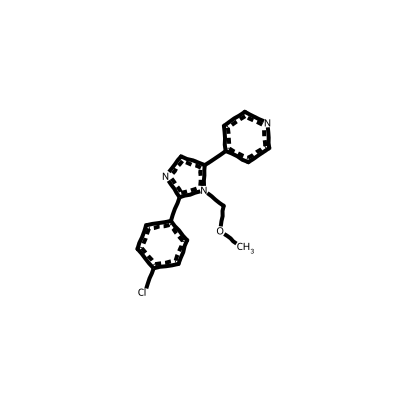 COCn1c(-c2ccncc2)cnc1-c1ccc(Cl)cc1